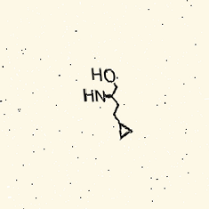 N=C(CO)CCC1CC1